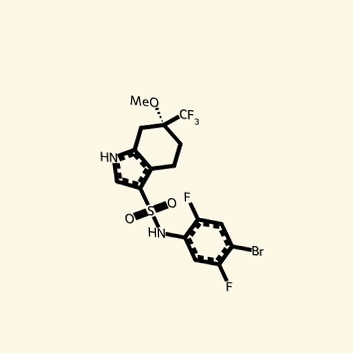 CO[C@]1(C(F)(F)F)CCc2c(S(=O)(=O)Nc3cc(F)c(Br)cc3F)c[nH]c2C1